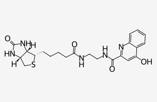 O=C(CCCC[C@@H]1SC[C@@H]2NC(=O)N[C@@H]21)NCCNC(=O)c1cc(O)c2ccccc2n1